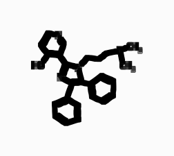 CN(C)CCCn1c(-c2cnccc2O)nc(-c2ccccc2)c1-c1ccccc1